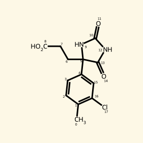 Cc1ccc(C2(CCC(=O)O)NC(=O)NC2=O)cc1Cl